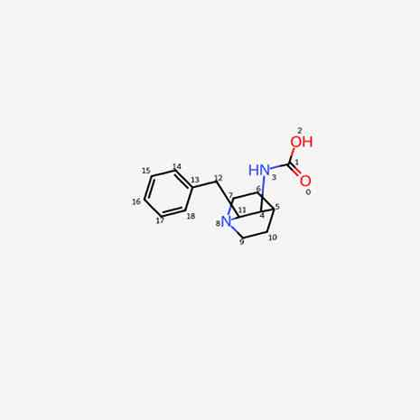 O=C(O)NC1C2CCN(CC2)C1Cc1ccccc1